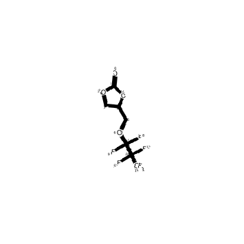 O=C1OCC(COC(F)(F)C(F)(F)C(F)(F)F)O1